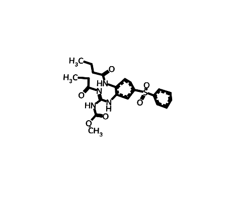 CCCC(=O)Nc1ccc(S(=O)(=O)c2ccccc2)cc1NC(=NC(=O)CC)NC(=O)OC